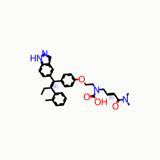 CC/C(=C(/c1ccc(OCCN(C/C=C/C(=O)N(C)C)C(=O)O)cc1)c1ccc2[nH]ncc2c1)c1ccccc1C